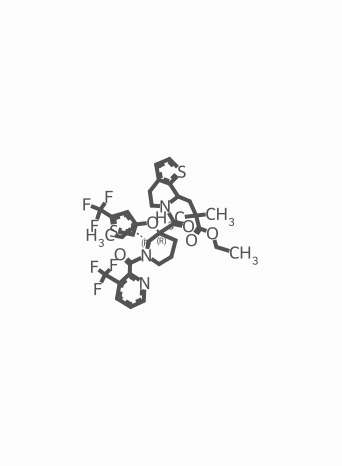 CCC[C@H]1N(C(=O)c2ncccc2C(F)(F)F)CCC[C@]1(Oc1csc(C(F)(F)F)c1)C(=O)N1CCc2ccsc2C1CC(C)(C)C(=O)OCC